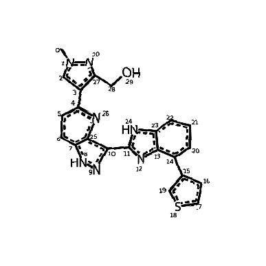 Cn1cc(-c2ccc3[nH]nc(-c4nc5c(-c6ccsc6)cccc5[nH]4)c3n2)c(CO)n1